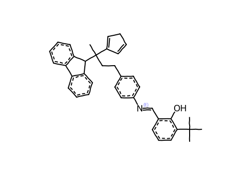 CC(C)(C)c1cccc(/C=N/c2ccc(CCC(C)(C3=CCC=C3)C3c4ccccc4-c4ccccc43)cc2)c1O